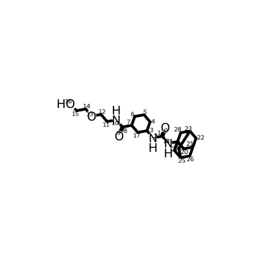 O=C(NC1CCCC(C(=O)NCCOCCO)C1)NC12CC3CC(CC(C3)C1)C2